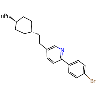 CCC[C@H]1CC[C@H](CCc2ccc(-c3ccc(Br)cc3)nc2)CC1